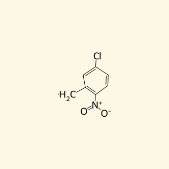 [CH2]c1cc(Cl)ccc1[N+](=O)[O-]